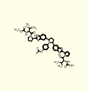 COC(=O)NC(C(=O)N1CCCC1c1nc2cc(C3CCC(c4ccc5[nH]c(-c6cccn6C(=O)[C@@H](NC(=O)O)C(C)C)nc5c4)N3c3ccc(OC(F)F)cc3)ccc2[nH]1)C(C)C